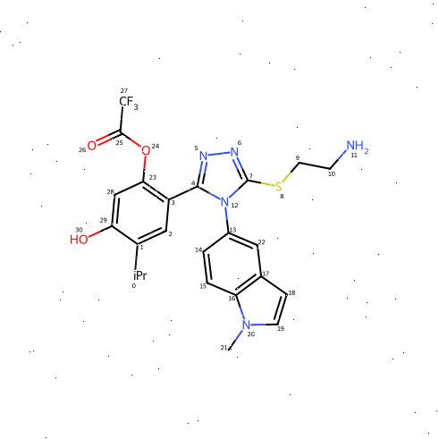 CC(C)c1cc(-c2nnc(SCCN)n2-c2ccc3c(ccn3C)c2)c(OC(=O)C(F)(F)F)cc1O